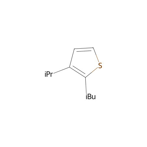 CCC(C)c1sccc1C(C)C